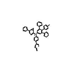 C=C/C=C\C(=C/C)c1ccc(N(C2=CC=C(c3ccccc3)C3CC23)c2cc(C3=CCCC=C3)c(-c3ccc(C)cc3)c(-c3ccccc3)c2)cc1